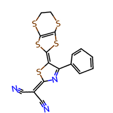 N#CC(C#N)=c1nc(-c2ccccc2)c(=C2SC3=C(SCCS3)S2)s1